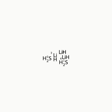 S.S.[LiH].[LiH].[LiH]